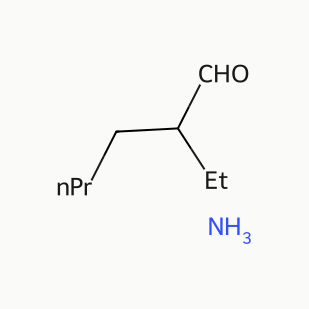 CCCCC(C=O)CC.N